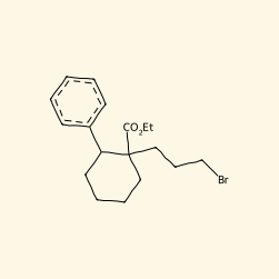 CCOC(=O)C1(CCCBr)CCCCC1c1ccccc1